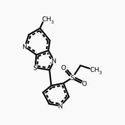 CCS(=O)(=O)c1cnccc1-c1nc2cc(C)cnc2s1